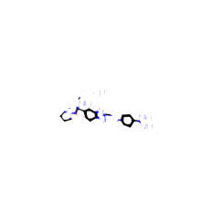 Cn1c(CNc2ccc(C(=N)N)cc2)nc2cc([C@@](C)(NCC(=O)O)C(=O)[N+]3(C)CCCC3)ccc21